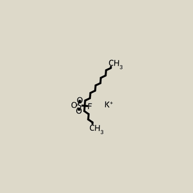 CCCCCCCCCCCC(F)(CCCCC)S(=O)(=O)[O-].[K+]